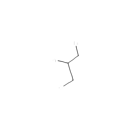 [O]CC(Br)CBr